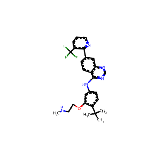 CNCCOc1cc(Nc2ncnc3cc(-c4ncccc4C(F)(F)F)ccc23)ccc1C(C)(C)C